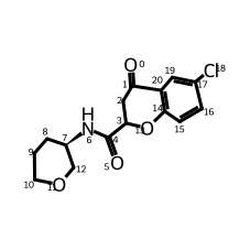 O=C1CC(C(=O)N[C@@H]2CCCOC2)Oc2ccc(Cl)cc21